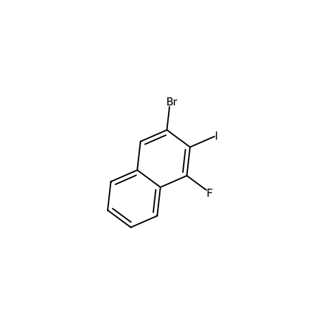 Fc1c(I)c(Br)cc2ccccc12